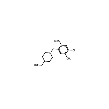 COc1cc(Cl)c(C)cc1CN1CCC(CO)CC1